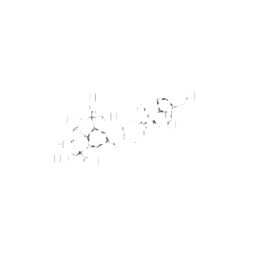 Cn1c(CO)ccc1S(=O)(=O)N1CCC(Sc2cc(C(C)(C)C)c(O)c(C(C)(C)C)c2)CC1